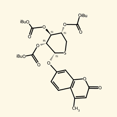 Cc1cc(=O)oc2cc(O[C@H]3SC[C@@H](OC(=O)OCC(C)C)[C@H](OC(=O)OCC(C)C)[C@H]3OC(=O)OCC(C)C)ccc12